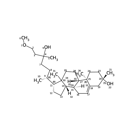 COCCC(C)(O)CC[C@@H](C)[C@H]1CC[C@H]2[C@@H]3CC=C4C[C@@](C)(O)CC[C@]4(C)[C@H]3CCC12C